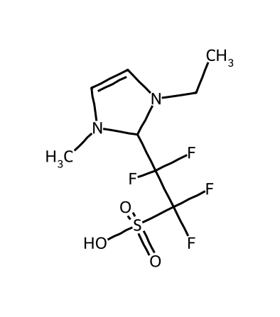 CCN1C=CN(C)C1C(F)(F)C(F)(F)S(=O)(=O)O